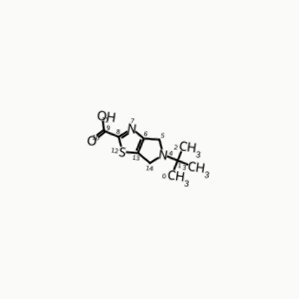 CC(C)(C)N1Cc2nc(C(=O)O)sc2C1